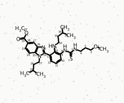 COCCCNC(=S)Nc1cccc(-c2nc3cc(C(=O)OC)ccc3n2CCC(C)C)c1NCCC(C)C